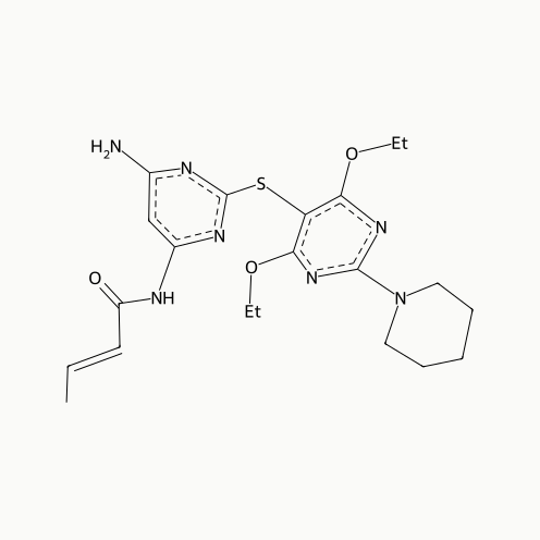 C/C=C/C(=O)Nc1cc(N)nc(Sc2c(OCC)nc(N3CCCCC3)nc2OCC)n1